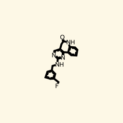 O=C1Cc2cnc(NCc3cccc(CF)c3)nc2-c2ccccc2N1